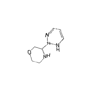 C1=CNN(C2COCCN2)N=C1